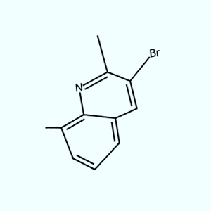 Cc1nc2c(C)cccc2cc1Br